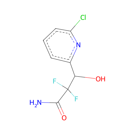 NC(=O)C(F)(F)C(O)c1cccc(Cl)n1